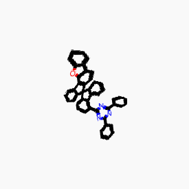 c1ccc(-c2nc(-c3ccccc3)nc(-c3cccc4c3-c3ccccc3C43c4ccccc4-c4c3ccc3c4oc4ccccc43)n2)cc1